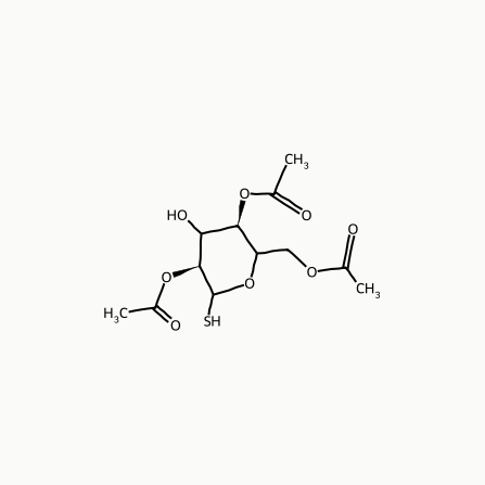 CC(=O)OCC1OC(S)[C@@H](OC(C)=O)C(O)[C@H]1OC(C)=O